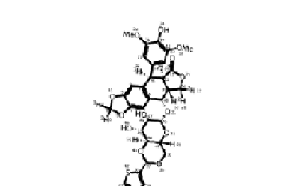 [2H]C1([2H])Oc2cc3c(cc2O1)[C@@]([2H])(c1cc(OC)c(O)c(OC)c1)[C@H]1C(=O)OC([2H])([2H])[C@@H]1[C@@H]3O[C@@H]1O[C@@H]2CO[C@@H](c3cccs3)O[C@H]2[C@H](O)[C@H]1O